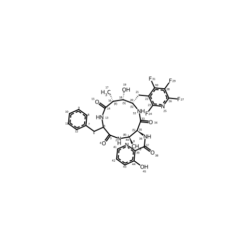 C[C@H]1NC(=O)C(Cc2ccccc2)NC(=O)[C@H](C)[C@H](O)[C@H](Cc2c(F)nc(F)c(F)c2F)NC(=O)[C@H]1NC(=O)c1ncccc1O